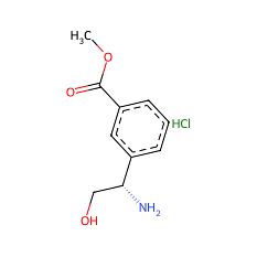 COC(=O)c1cccc([C@H](N)CO)c1.Cl